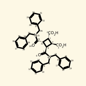 O=C(O)[C@@H]1[C@@H](C(=O)O)[C@@H](C(=O)N(Cc2ccccc2)Cc2ccccc2)[C@@H]1C(=O)N(Cc1ccccc1)Cc1ccccc1